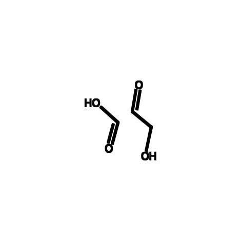 O=CCO.O=CO